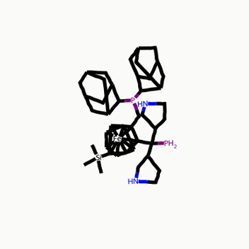 C[Si](C)(C)[C]12[CH]3[C]4(CP(C5C6CC7CC(C6)CC5C7)C5C6CC7CC(C6)CC5C7)[C]5(C(P)(C6CCNC6)C6CCNC6)[CH]1[Fe]34521678[CH]2[CH]1[CH]6[CH]7[CH]28